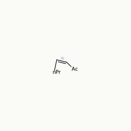 CCC/C=C\C(C)=O